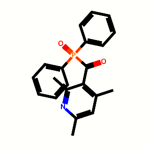 Cc1cc(C)c(C(=O)P(=O)(c2ccccc2)c2ccccc2)c(C)n1